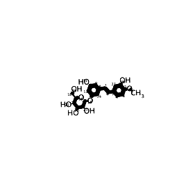 COc1ccc(/C=C/c2cc(O)cc(O[C@@H]3O[C@H](CO)[C@@H](O)[C@H](O)[C@H]3O)c2)cc1O